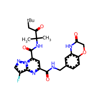 CC(C)(C)CC(=O)C(C)(C)NC(=O)c1cc(C(=O)NCc2ccc3c(c2)NC(=O)CO3)nc2c(F)cnn12